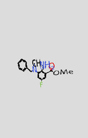 COC(=O)c1cc(F)cc(N(C)Cc2ccccc2)c1N